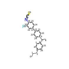 CCCc1ccc(C(C)c2ccc(-c3ccc(N=C=S)c(F)c3)cc2)cc1